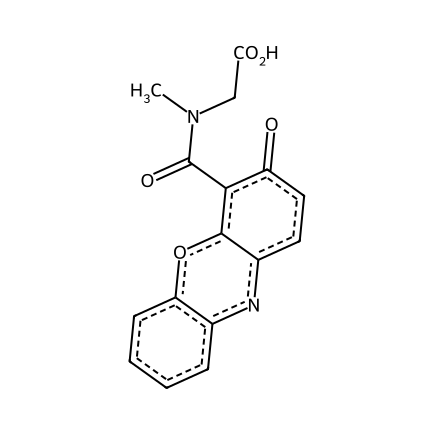 CN(CC(=O)O)C(=O)c1c2oc3ccccc3nc-2ccc1=O